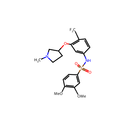 COc1ccc(S(=O)(=O)Nc2ccc(C(F)(F)F)c(OC3CCN(C)C3)c2)cc1OC